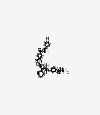 N=C(N)Nc1ccc(CNC(=O)N2CCN(C(=O)OC(=O)N3CCC(C(=O)NCCC4CCNCC4)CC3)CC2=C2CCCCCCC2)cc1